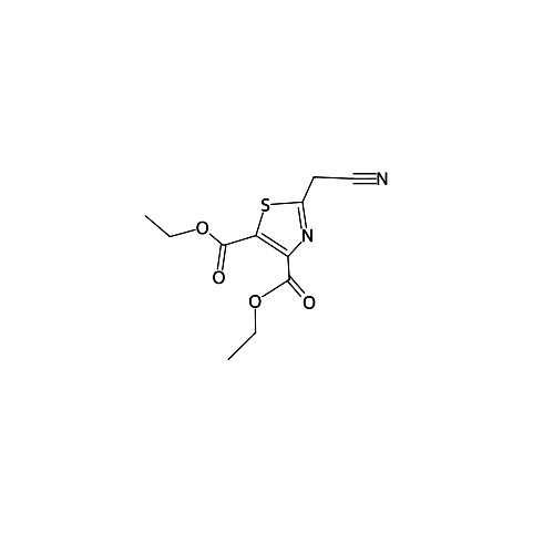 CCOC(=O)c1nc(CC#N)sc1C(=O)OCC